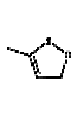 CC1=CCOS1